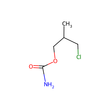 CC(CCl)COC(N)=O